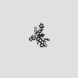 CN1CCCC1COc1nc2c(F)c(-c3cccc(Cl)c3Cl)c(CCC#N)cc2c2c1cc(C1CC(Oc3ccccn3)CN1C(=O)O)n2C1C2CNC1C2